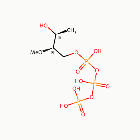 CO[C@H](COP(=O)(O)OP(=O)(O)OP(=O)(O)O)[C@H](C)O